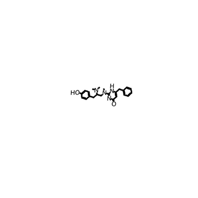 CN(CC(Cc1ccc(O)cc1)N(C)C)c1nc(=O)cc(Cc2ccccc2)[nH]1